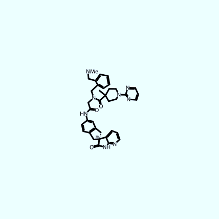 CNCc1ccccc1CN(CC(=O)Nc1ccc2c(c1)C[C@@]1(C2)C(=O)Nc2ncccc21)C(=O)C1(C)CCN(c2ncccn2)CC1